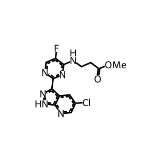 COC(=O)CCNc1nc(-c2n[nH]c3ncc(Cl)cc23)ncc1F